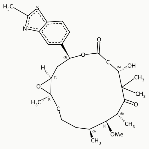 CO[C@H]1[C@@H](C)CCC[C@@]2(C)O[C@H]2C[C@@H](c2ccc3sc(C)nc3c2)OC(=O)C[C@H](O)C(C)(C)C(=O)[C@@H]1C